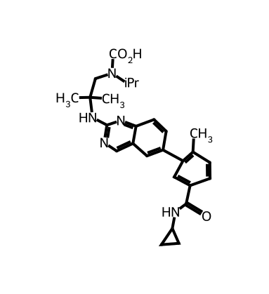 Cc1ccc(C(=O)NC2CC2)cc1-c1ccc2nc(NC(C)(C)CN(C(=O)O)C(C)C)ncc2c1